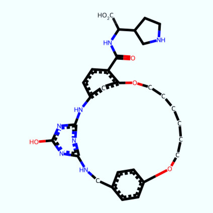 O=C(NC(C(=O)O)C1CCNC1)c1ccc2cc1OCCCCCCOc1ccc(cc1)CNc1nc(O)nc(n1)N2